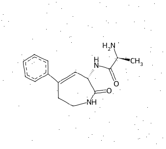 C[C@H](N)C(=O)N[C@H]1C=C(c2ccccc2)CCNC1=O